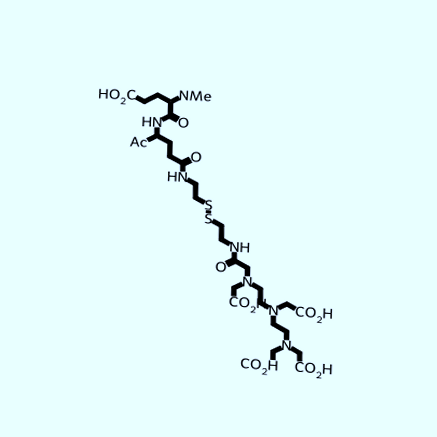 CNC(CCC(=O)O)C(=O)NC(CCC(=O)NCCSSCCNC(=O)CN(CCN(CCN(CC(=O)O)CC(=O)O)CC(=O)O)CC(=O)O)C(C)=O